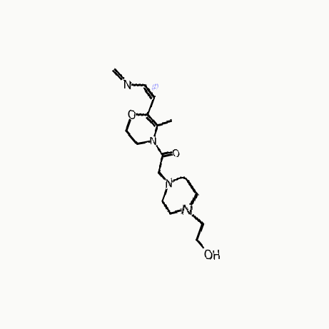 C=N/C=C\C1=C(C)N(C(=O)CN2CCN(CCO)CC2)CCO1